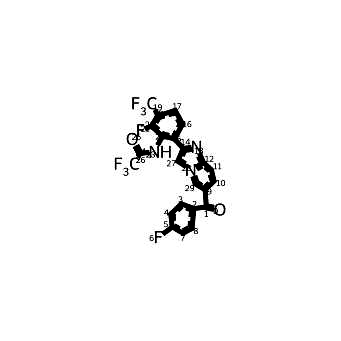 O=C(c1ccc(F)cc1)c1ccc2nc(-c3ccc(C(F)(F)F)c(F)c3NC(=O)C(F)(F)F)cn2c1